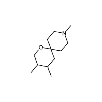 CC1COC2(CCN(C)CC2)CC1C